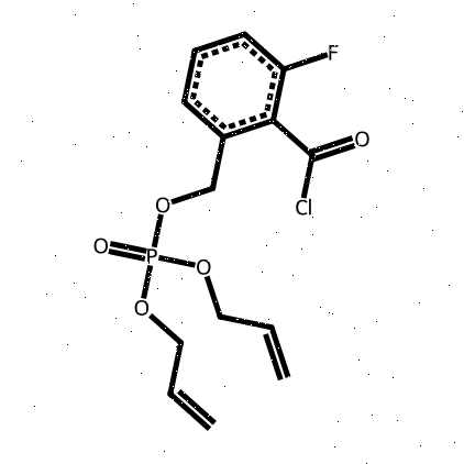 C=CCOP(=O)(OCC=C)OCc1cccc(F)c1C(=O)Cl